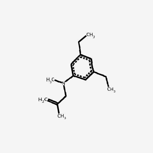 C=C(C)CN(C)c1cc(CC)cc(CC)c1